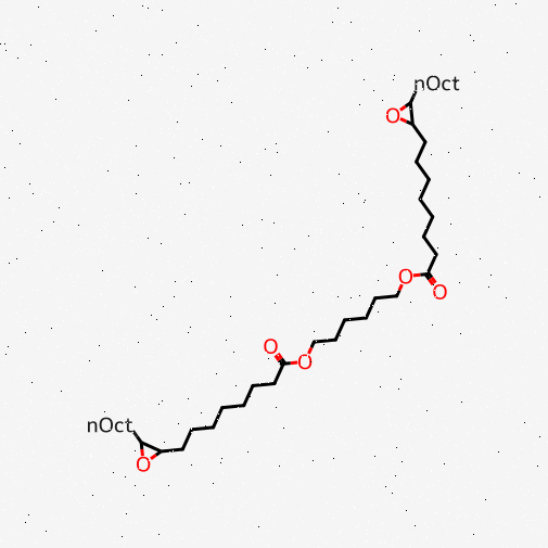 CCCCCCCCC1OC1CCCCCCCC(=O)OCCCCCCOC(=O)CCCCCCCC1OC1CCCCCCCC